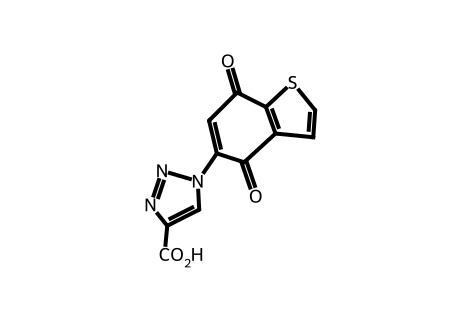 O=C(O)c1cn(C2=CC(=O)c3sccc3C2=O)nn1